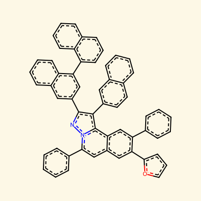 c1ccc(-c2cc3c(cc2-c2ccco2)cc(-c2ccccc2)n2nc(-c4cc(-c5cccc6ccccc56)c5ccccc5c4)c(-c4ccc5ccccc5c4)c32)cc1